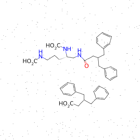 O=C(O)CC(Cc1ccccc1)Cc1ccccc1.O=C(O)NCCC[C@@H](CNC(=O)CC(Cc1ccccc1)Cc1ccccc1)NC(=O)O